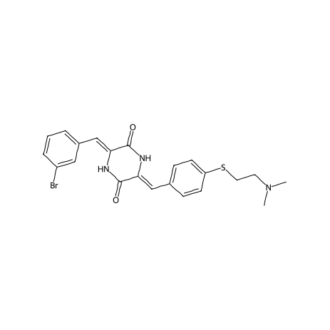 CN(C)CCSc1ccc(C=c2[nH]c(=O)c(=Cc3cccc(Br)c3)[nH]c2=O)cc1